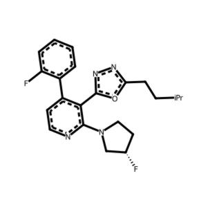 CC(C)CCc1nnc(-c2c(-c3ccccc3F)ccnc2N2CC[C@H](F)C2)o1